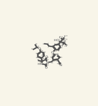 CCCc1cc(C(O)(C(F)(F)F)C(F)(F)F)ccc1Oc1cc(CN2C(=O)NC(C)(c3ccc(OC(C)C)cc3)C2=O)c(C#N)cn1